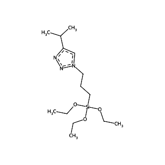 CCO[Si](CCCn1cc(C(C)C)nn1)(OCC)OCC